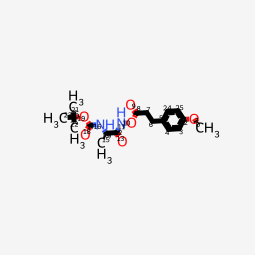 COc1ccc(CCC(=O)ONC(=O)[C@H](C)NC(=O)OC(C)(C)C)cc1